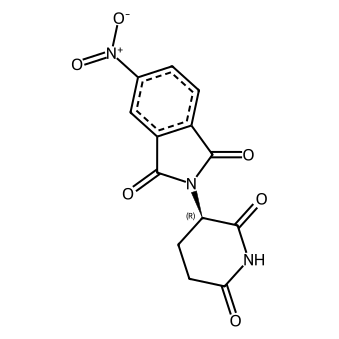 O=C1CC[C@@H](N2C(=O)c3ccc([N+](=O)[O-])cc3C2=O)C(=O)N1